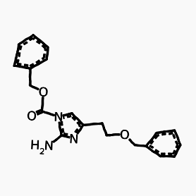 Nc1nc(CCOCc2ccccc2)cn1C(=O)OCc1ccccc1